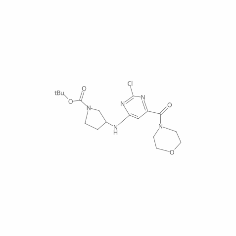 CC(C)(C)OC(=O)N1CCC(Nc2cc(C(=O)N3CCOCC3)nc(Cl)n2)C1